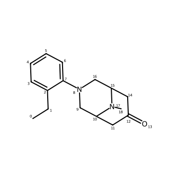 CCc1ccccc1N1CC2CC(=O)CC(C1)N2C